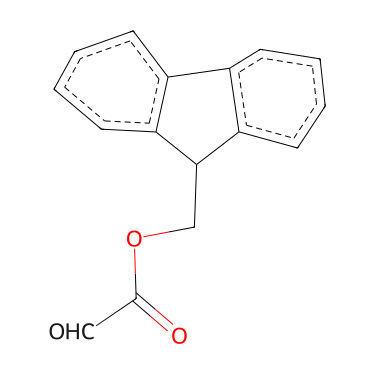 O=CC(=O)OCC1c2ccccc2-c2ccccc21